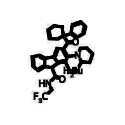 CCCCc1c2c(cc(C(=O)C3(c4ccccc4)CC=CCC3)c1N1CCCCC1N)-c1ccccc1C2C(=O)NCC(F)(F)F